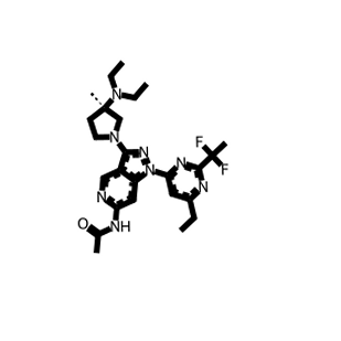 CCc1cc(-n2nc(N3CC[C@@](C)(N(CC)CC)C3)c3cnc(NC(C)=O)cc32)nc(C(C)(F)F)n1